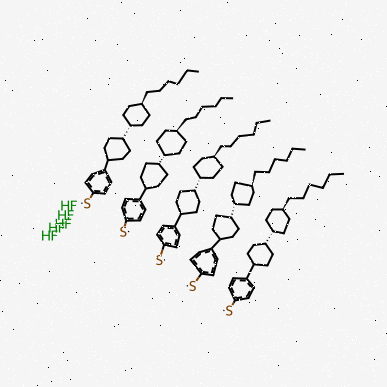 CCCCCC[C@H]1CC[C@H](C2CCC(c3ccc([S])cc3)CC2)CC1.CCCCCC[C@H]1CC[C@H](C2CCC(c3ccc([S])cc3)CC2)CC1.CCCCCC[C@H]1CC[C@H](C2CCC(c3ccc([S])cc3)CC2)CC1.CCCCCC[C@H]1CC[C@H](C2CCC(c3ccc([S])cc3)CC2)CC1.CCCCCC[C@H]1CC[C@H](C2CCC(c3ccc([S])cc3)CC2)CC1.F.F.F.F.F